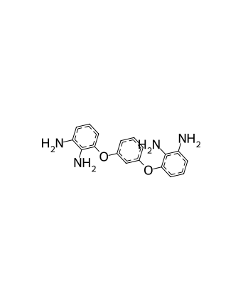 Nc1cccc(Oc2cccc(Oc3cccc(N)c3N)c2)c1N